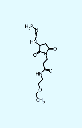 CCOCCNC(=O)CCN1C(=O)CC(N/B=N/P)C1=O